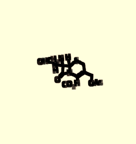 CC(=O)OCC1=C(C(=O)O)N2C(=O)[C@](N)(NC=O)[C@@H]2SC1